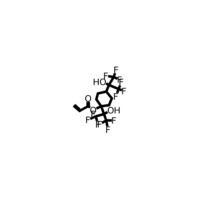 C=CC(=O)OC1(C(O)(C(F)(F)F)C(F)(F)F)CCC(C(O)(C(F)(F)F)C(F)(F)F)CC1